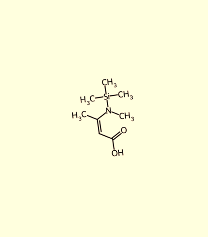 CC(=CC(=O)O)N(C)[Si](C)(C)C